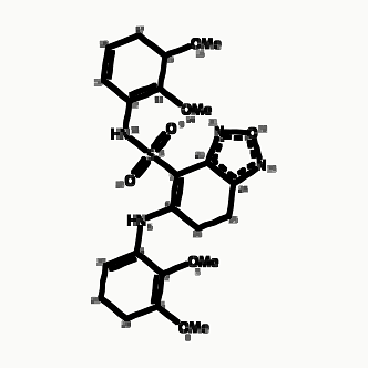 COC1=C(OC)C(NC2=C(S(=O)(=O)NC3=C(OC)C(OC)CC=C3)c3nonc3CC2)=CCC1